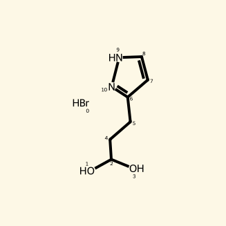 Br.OC(O)CCc1cc[nH]n1